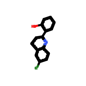 Oc1ccccc1-c1ccc2cc(Cl)ccc2n1